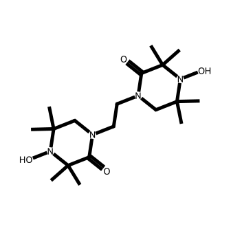 CC1(C)CN(CCN2CC(C)(C)N(O)C(C)(C)C2=O)C(=O)C(C)(C)N1O